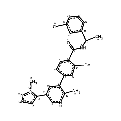 CC(NC(=O)c1ccc(-c2cc(-c3cnnn3C)cnc2N)cc1F)c1cccc(Cl)c1